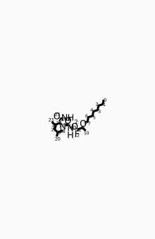 CCCCCCCCOC(C)[C@@H](F)ONC(=O)N1CC(C)C=C(C)[C@H]1C(N)=O